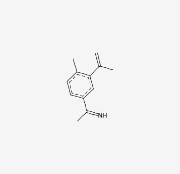 C=C(C)c1cc(C(C)=N)ccc1C